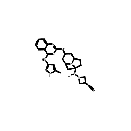 Cc1cc(Nc2nc(NC3CC4CCC5([S+]([O-])N6CC(C#N)C6)CC(C3)N45)nc3ccccc23)n[nH]1